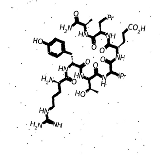 CC(C)C[C@@H](NC(=O)[C@@H](CCC(=O)O)NC(=O)C(NC(=O)C(NC(=O)[C@@H](Cc1ccc(O)cc1)NC(=O)[C@H](N)CCCNC(=N)N)[C@@H](C)O)C(C)C)C(=O)N[C@H](C)C(N)=O